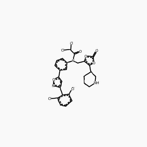 O=C(C(Cl)Cl)N(Cc1oc(=O)oc1C1CCCNC1)c1cccc(-c2cc(-c3c(Cl)cccc3Cl)no2)c1